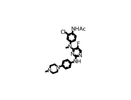 CC(=O)Nc1ccc(N(C)c2nc(Nc3ccc(N4CCN(C)CC4)cc3)ncc2F)cc1Cl